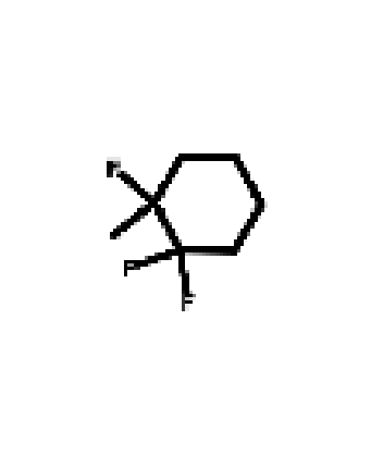 CC1(F)CCCCC1(F)F